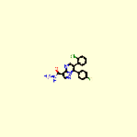 NNC(=O)c1cnn2c(-c3ccc(Cl)cc3)c(-c3ccccc3Cl)cnc12